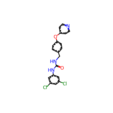 O=C(NCc1ccc(Oc2ccncc2)cc1)Nc1cc(Cl)cc(Cl)c1